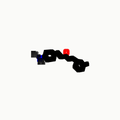 CCN(CC)c1ccc(/C=C/C(=O)/C=C/c2cccc(C)c2)cc1